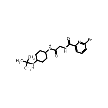 CC(C)(C)NC1CCC(NC(=O)CNC(=O)c2cccc(Br)n2)CC1